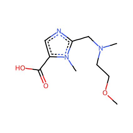 COCCN(C)Cc1ncc(C(=O)O)n1C